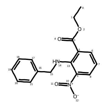 CCOC(=O)c1[c]ccc([N+](=O)[O-])c1NCc1ccccc1